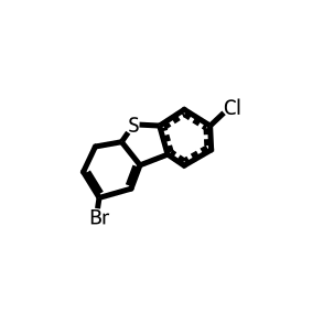 Clc1ccc2c(c1)SC1CC=C(Br)C=C21